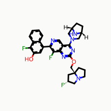 Oc1cc(-c2ncc3c(N4C[C@H]5CC[C@@H](C4)N5)nc(OC[C@@]45CCCN4C[C@H](F)C5)nc3c2F)c2ccccc2c1F